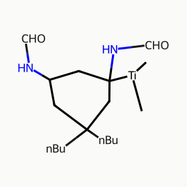 CCCCC1(CCCC)CC(NC=O)C[C](NC=O)([Ti]([CH3])[CH3])C1